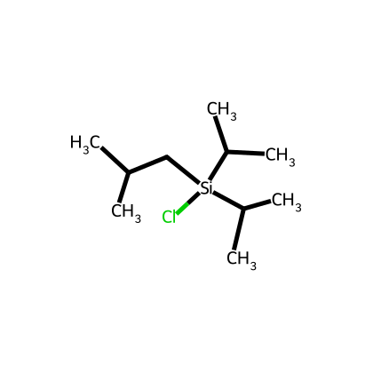 CC(C)C[Si](Cl)(C(C)C)C(C)C